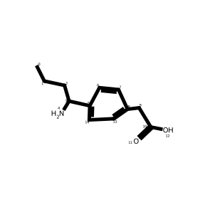 CCCC(N)c1ccc(CC(=O)O)cc1